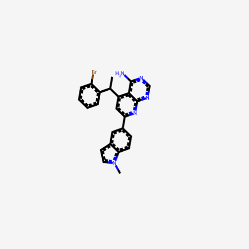 CC(c1ccccc1Br)c1cc(-c2ccc3c(ccn3C)c2)nc2ncnc(N)c12